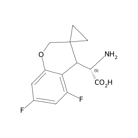 N[C@H](C(=O)O)C1c2c(F)cc(F)cc2OCC12CC2